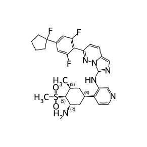 C[C@H]1C[C@@H](c2ccncc2Nc2ncc3ccc(-c4c(F)cc(C5(F)CCCC5)cc4F)nn23)C[C@@H](N)[C@H]1S(C)(=O)=O